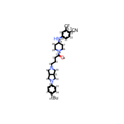 CC(C)(C)c1ccc(N2CC3CN(CCCC(=O)N4CCC(Nc5ccc(C#N)c(C(F)(F)F)c5)CC4)CC3C2)cc1